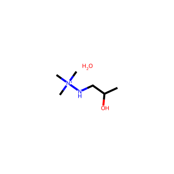 CC(O)CN[N+](C)(C)C.O